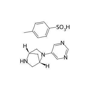 Cc1ccc(S(=O)(=O)O)cc1.c1ncc(N2C[C@@H]3C[C@H]2CN3)cn1